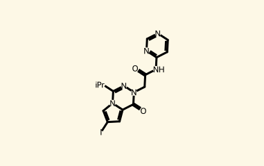 CC(C)c1nn(CC(=O)Nc2ccncn2)c(=O)c2cc(I)cn12